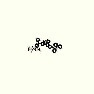 C[Si](C)(C)c1ccc(N(c2ccccc2)c2ccc3c(c2)Oc2cccc4c2c-3cc2ccc(N(c3ccccc3)c3cccc5c3oc3ccccc35)cc24)cc1